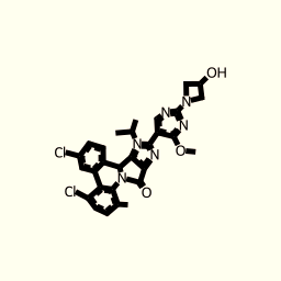 COc1nc(N2CC(O)C2)ncc1-c1nc2c(n1C(C)C)C1c3ccc(Cl)cc3-c3c(Cl)ccc(C)c3N1C2=O